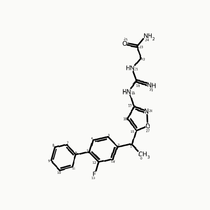 CC(c1ccc(-c2ccccc2)c(F)c1)c1cc(NC(=N)NCC(N)=O)no1